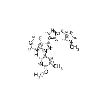 COc1ncc(-n2nc(-c3cnn(C[C@H]4CCN(C)C4)c3)c3c2NCOCC3)cc1C